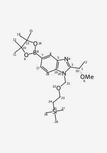 CO[C@@H](C)c1nc2cc(B3OC(C)(C)C(C)(C)O3)ccc2n1COCC[Si](C)(C)C